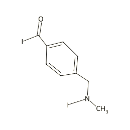 CN(I)Cc1ccc(C(=O)I)cc1